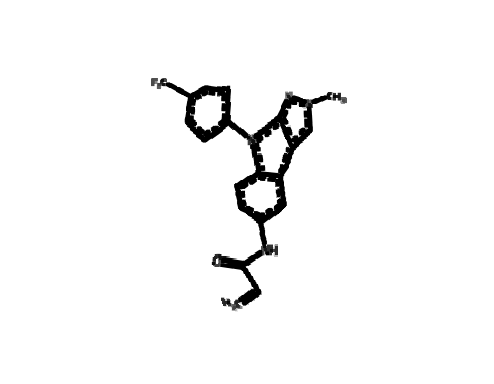 C=CC(=O)Nc1ccc2c(c1)c1cn(C)nc1n2-c1ccc(C(F)(F)F)cc1